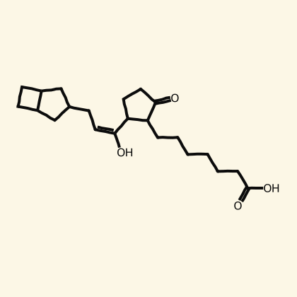 O=C(O)CCCCCCC1C(=O)CCC1/C(O)=C\CC1CC2CCC2C1